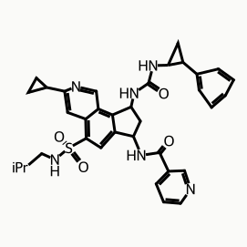 CC(C)CNS(=O)(=O)c1cc2c(c3cnc(C4CC4)cc13)C(NC(=O)NC1CC1c1ccccc1)CC2NC(=O)c1cccnc1